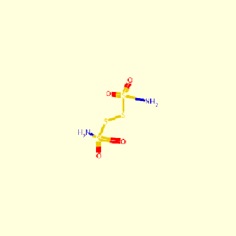 NS(=O)(=O)SSS(N)(=O)=O